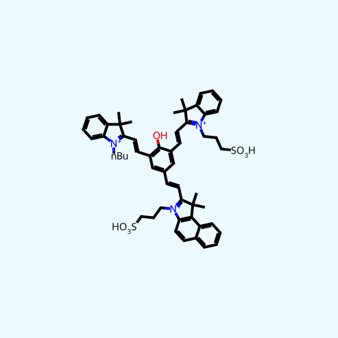 CCCC[N+]1=C(/C=C/c2cc(/C=C/C3=[N+](CCCS(=O)(=O)O)c4ccc5ccccc5c4C3(C)C)cc(/C=C/C3=[N+](CCCS(=O)(=O)O)c4ccccc4C3(C)C)c2O)C(C)(C)c2ccccc21